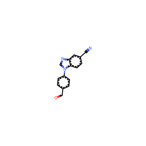 N#Cc1ccc2c(c1)ncn2-c1ccc(C=O)cc1